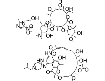 CC[C@H]1OC(=O)[C@H](C)[C@@H](O[C@H]2C[C@@](C)(OC)[C@@H](O)[C@H](C)O2)C(C)[C@@H](O[C@@H]2O[C@H](C)C[C@H](N(C)C)[C@H]2O)[C@](C)(OC)C[C@@H](C)C(=O)[C@H](C)[C@@H](O)[C@]1(C)O.CO[C@H]1/C=C/O[C@@]2(C)Oc3c(C)c(O)c4c(c3C2=O)C2=NC3(CCN(CC(C)C)CC3)NC2=C(NC(=O)/C(C)=C\C=C\[C@H](C)[C@H](O)[C@@H](C)[C@@H](O)[C@@H](C)[C@H](OC(C)=O)[C@@H]1C)C4=O.Cc1ncc([N+](=O)[O-])n1CCO